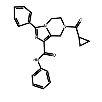 O=C(Nc1ccccc1)c1nc(-c2ccccc2)n2c1CN(C(=O)C1CC1)CC2